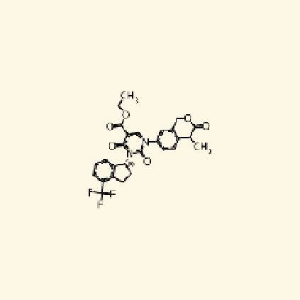 CCOC(=O)c1cn(-c2ccc3c(c2)COC(=O)C3C)c(=O)n([C@@H]2CCc3c2cccc3C(F)(F)F)c1=O